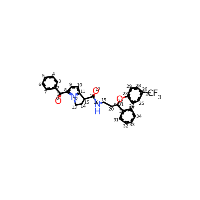 O=C(c1ccccc1)c1ccc2n1CCC2C(=O)NCC[C@@H](Oc1ccc(C(F)(F)F)cc1)c1ccccc1